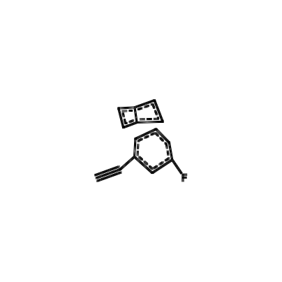 C#Cc1cccc(F)c1.c1cc2ccc1-2